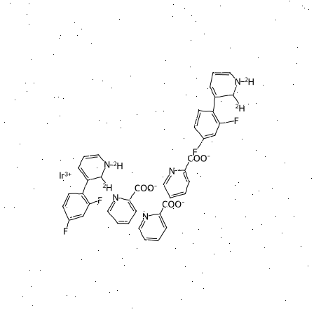 O=C([O-])c1ccccn1.O=C([O-])c1ccccn1.O=C([O-])c1ccccn1.[2H]C1C(c2ccc(F)cc2F)=CC=CN1[2H].[2H]C1C(c2ccc(F)cc2F)=CC=CN1[2H].[Ir+3]